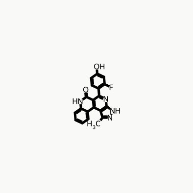 Cc1n[nH]c2nc(-c3ccc(O)cc3F)c3c(=O)[nH]c4ccccc4c3c12